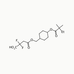 CCC(C)(C)C(=O)OC1CCC(COC(=O)CC(F)(F)C(=O)O)CC1